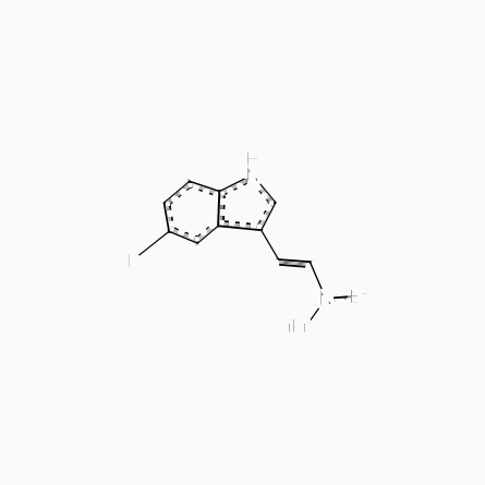 CCN(/C=C/c1c[nH]c2ccc(F)cc12)C(C)C